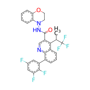 CC(c1c(C(=O)NN2CCOc3ccccc32)cnc2c(-c3cc(F)cc(F)c3F)cccc12)C(F)(F)F